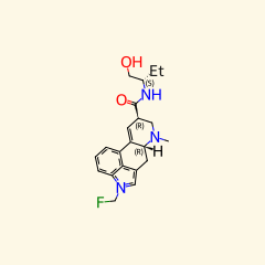 CC[C@@H](CO)NC(=O)[C@@H]1C=C2c3cccc4c3c(cn4CF)C[C@H]2N(C)C1